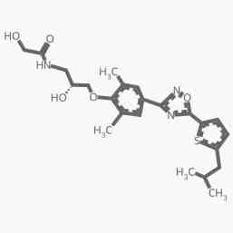 Cc1cc(-c2noc(-c3ccc(CC(C)C)s3)n2)cc(C)c1OC[C@H](O)CNC(=O)CO